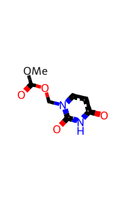 COC(=O)OCn1ccc(=O)[nH]c1=O